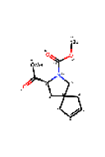 COC(=O)[C@@H]1CC2(CC=CC2)CN1C(=O)OC(C)(C)C